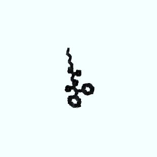 CCCCCOC(=O)COC(=O)C(c1ccccc1)c1ccccc1